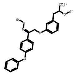 CCO/N=C(\COc1cccc(CC(OCC)C(=O)O)c1)c1ccc(Oc2ccccc2)cc1